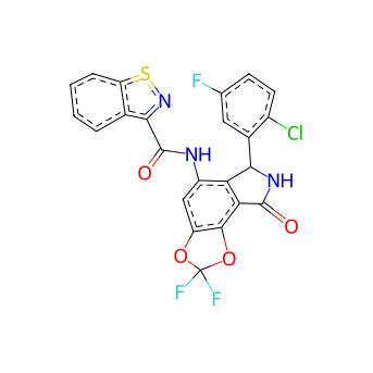 O=C1NC(c2cc(F)ccc2Cl)c2c(NC(=O)c3nsc4ccccc34)cc3c(c21)OC(F)(F)O3